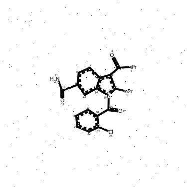 CCCc1c(C(=O)C(C)C)c2ccc(C(N)=O)cc2n1C(=O)c1ccccc1Cl